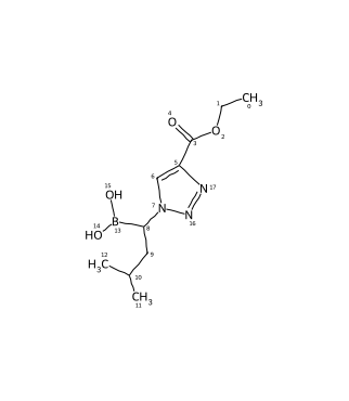 CCOC(=O)c1cn(C(CC(C)C)B(O)O)nn1